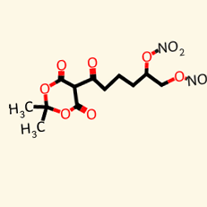 CC1(C)OC(=O)C(C(=O)CCCC(CO[N+](=O)[O-])O[N+](=O)[O-])C(=O)O1